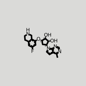 Cc1ncnc2c1ccn2[C@@H]1C[C@H](Oc2cc(F)cc3c2CNCC3)[C@@H](O)[C@H]1O